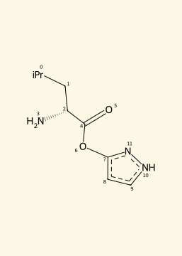 CC(C)C[C@@H](N)C(=O)Oc1cc[nH]n1